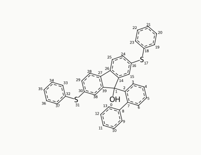 OC1(c2ccccc2-c2ccccc2)c2cc(Sc3ccccc3)ccc2-c2ccc(Sc3ccccc3)cc21